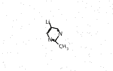 [Li][c]1cnc(C)nc1